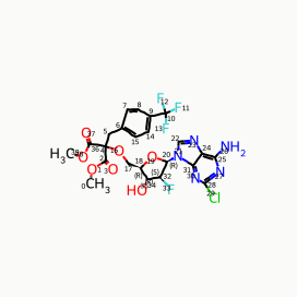 COC(=O)C(Cc1ccc(C(F)(F)F)cc1)(OC[C@H]1O[C@@H](n2cnc3c(N)nc(Cl)nc32)[C@@H](F)[C@@H]1O)C(=O)OC